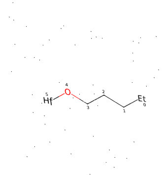 CCCCC[O][Hf]